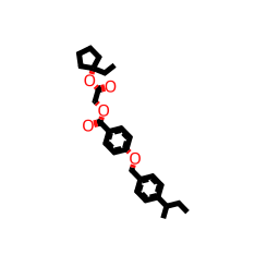 CCC(C)c1ccc(COc2ccc(C(=O)OCC(=O)OC3(CC)CCCC3)cc2)cc1